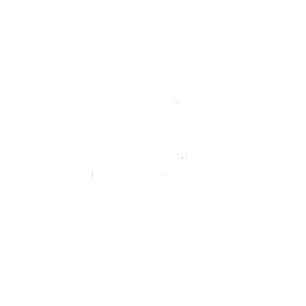 CC1CCC(NC(=O)CCl)(c2ccccc2)C(=O)C1